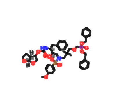 COc1ccc(S(=O)(=O)N(C[C@@H](O)[C@H](Cc2ccccc2)NC(=O)OC2CO[C@H]3OCC[C@@H]23)CC(C)(C)COCP(=O)(OCc2ccccc2)OCc2ccccc2)cc1